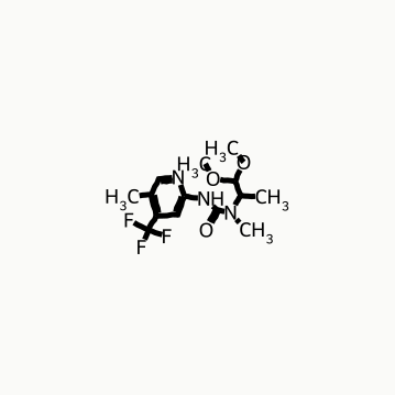 COC(OC)C(C)N(C)C(=O)Nc1cc(C(F)(F)F)c(C)cn1